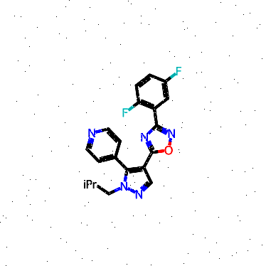 CC(C)Cn1ncc(-c2nc(-c3cc(F)ccc3F)no2)c1-c1ccncc1